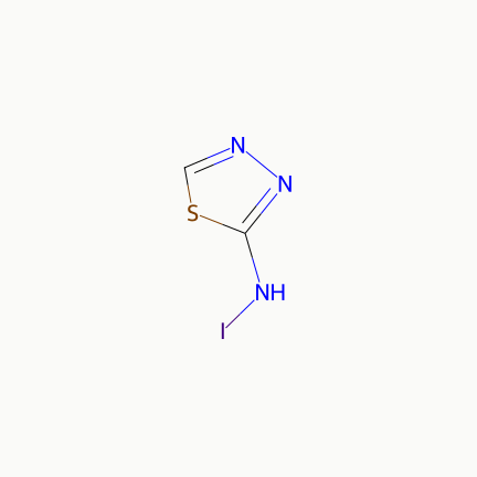 INc1nncs1